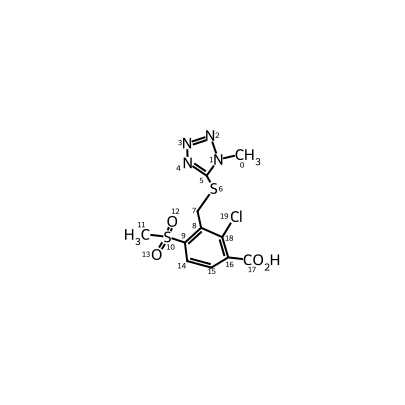 Cn1nnnc1SCc1c(S(C)(=O)=O)ccc(C(=O)O)c1Cl